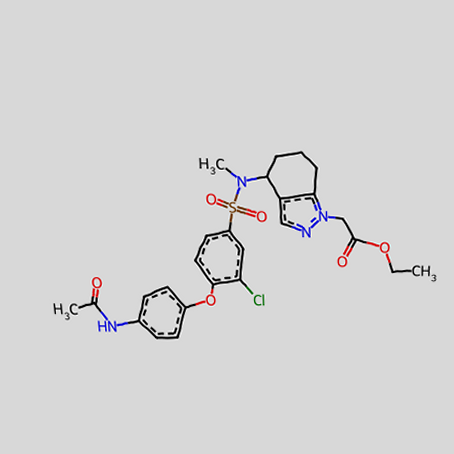 CCOC(=O)Cn1ncc2c1CCCC2N(C)S(=O)(=O)c1ccc(Oc2ccc(NC(C)=O)cc2)c(Cl)c1